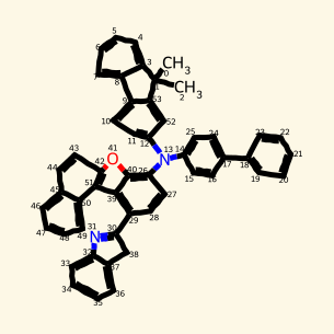 CC1(C)c2ccccc2-c2ccc(N(c3ccc(-c4ccccc4)cc3)c3ccc(C4=Nc5ccccc5C4)c4c3oc3ccc5ccccc5c34)cc21